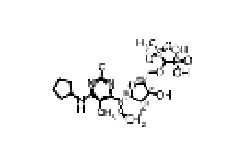 C=NN(c1nc(Cl)nc(NC2CCCC2)c1C)[C@@H]1O[C@H](COC(P(=O)(O)O)S(C)(=O)=O)[C@@H](O)[C@@H]1F